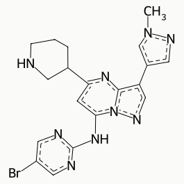 Cn1cc(-c2cnn3c(Nc4ncc(Br)cn4)cc(C4CCCNC4)nc23)cn1